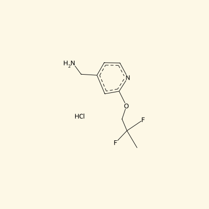 CC(F)(F)COc1cc(CN)ccn1.Cl